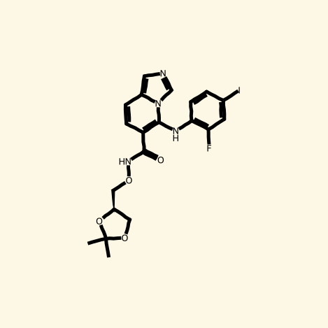 CC1(C)OC[C@H](CONC(=O)c2ccc3cncn3c2Nc2ccc(I)cc2F)O1